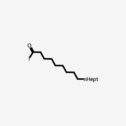 CCCCCCCCCCCCCCCC(=O)I